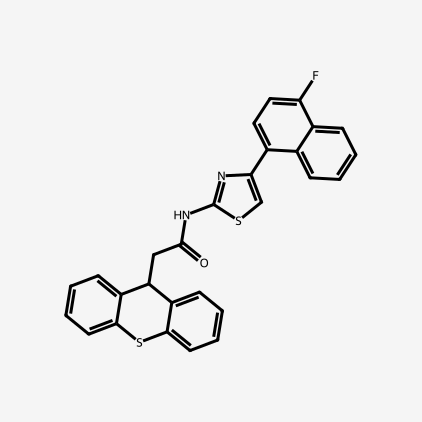 O=C(CC1c2ccccc2Sc2ccccc21)Nc1nc(-c2ccc(F)c3ccccc23)cs1